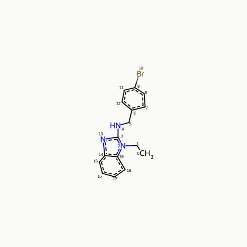 CCn1c(NCc2ccc(Br)cc2)nc2ccccc21